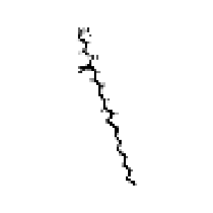 CCCCCCCCCCCCCCCCCC(=O)NCCCN